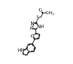 CC(=O)CSc1nnc(-c2ccc(-c3ccc4cc[nH]c4c3)o2)[nH]1